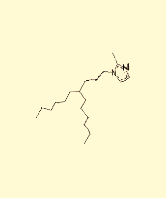 CCCCCCC(CCCCCC)CCCn1ccnc1C